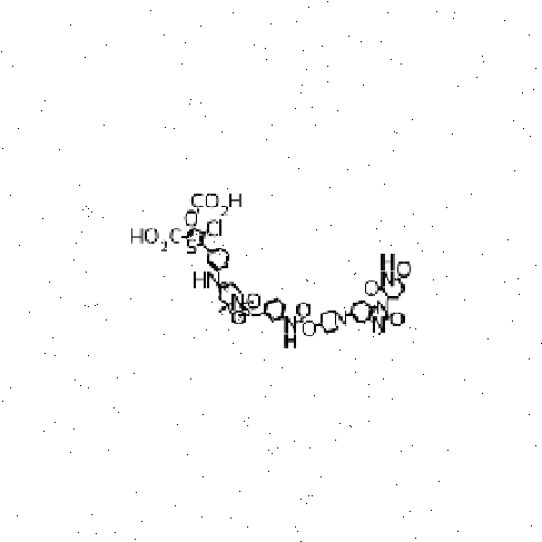 Cn1c(=O)n(C2CCC(=O)NC2=O)c2ccc(N3CCC(OC(=O)Nc4cccc(CS(=O)(=O)N5CC[C@H](Nc6cccc(-c7sc(C(=O)O)c(OCC(=O)O)c7Cl)c6)CC5(C)C)c4)CC3)cc21